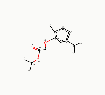 Cc1ccc(C(C)C)cc1OCC(=O)OC(C)C